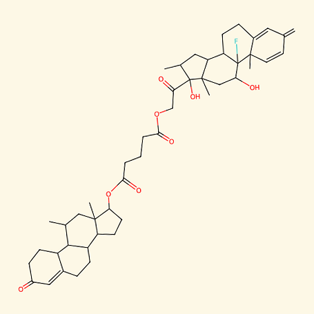 C=C1C=CC2(C)C(=C1)CCC1C3CC(C)C(O)(C(=O)COC(=O)CCCC(=O)OC4CCC5C6CCC7=CC(=O)CCC7C6C(C)CC45C)C3(C)CC(O)C12F